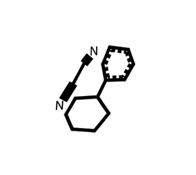 N#CC#N.c1ccc(C2CCCCC2)cc1